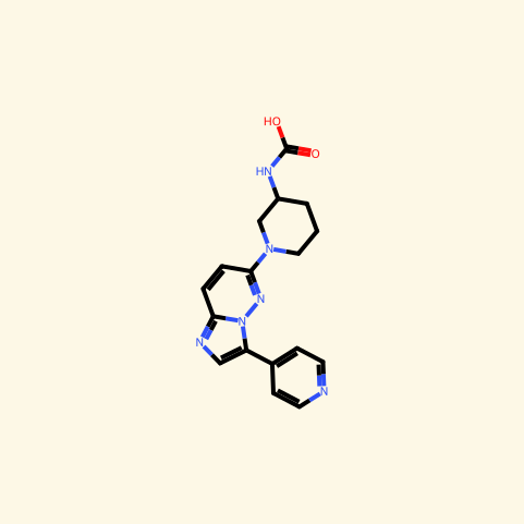 O=C(O)NC1CCCN(c2ccc3ncc(-c4ccncc4)n3n2)C1